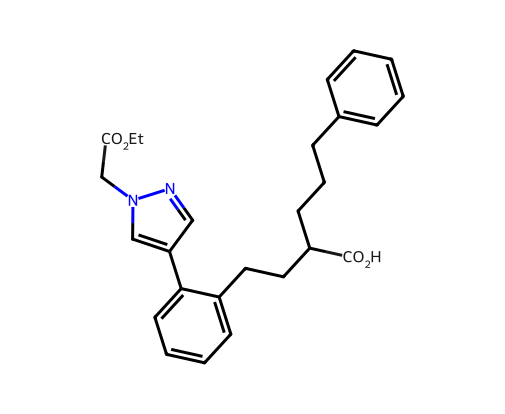 CCOC(=O)Cn1cc(-c2ccccc2CCC(CCCc2ccccc2)C(=O)O)cn1